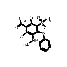 CCCCNc1c(CC)c(C(N)=O)c(CC)c(S(N)(=O)=O)c1Oc1ccccc1